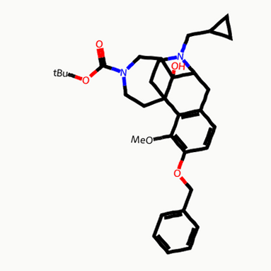 COc1c(OCc2ccccc2)ccc2c1C13CCN(C(=O)OC(C)(C)C)CCC1(O)C(C2)N(CC1CC1)CC3